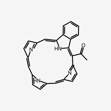 CC(=O)c1c2nc(cc3ccc(cc4nc(cc5[nH]c1c1ccccc51)C=C4)[nH]3)C=C2